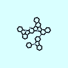 c1ccc(-n2c3ccccc3c3cc(-c4cc5ccccc5c5c6cc7ccccc7c7c8nc9c(cc8n(c45)c67)c4cccc5c6ccccc6n9c54)ccc32)cc1